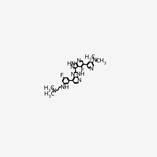 CN(C)CCNc1cc(F)cc(-c2ccnc3[nH]c(-c4n[nH]c5ncc(-c6cncc(N(C)C)c6)c(F)c45)nc23)c1